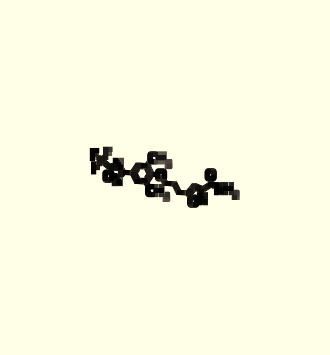 Cc1cc(-c2noc(C(F)(F)F)n2)cc(C)c1OCCCc1cc(C(N)=O)no1